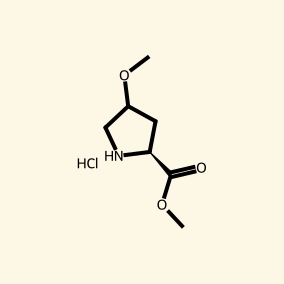 COC(=O)[C@@H]1CC(OC)CN1.Cl